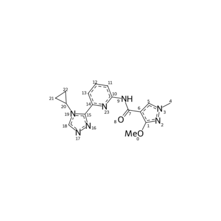 COc1nn(C)cc1C(=O)Nc1cccc(-c2nncn2C2CC2)n1